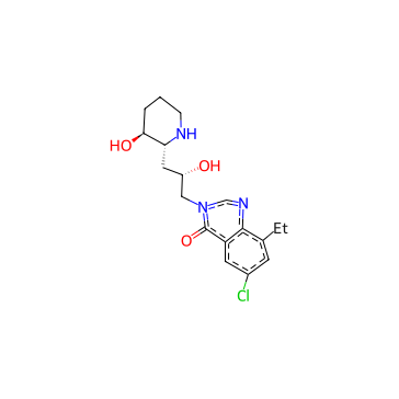 CCc1cc(Cl)cc2c(=O)n(C[C@@H](O)C[C@H]3NCCC[C@@H]3O)cnc12